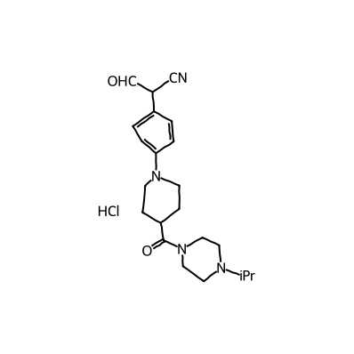 CC(C)N1CCN(C(=O)C2CCN(c3ccc(C(C#N)C=O)cc3)CC2)CC1.Cl